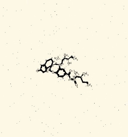 C=CC[C@H](C)[C@@H](C)/[SH](=O)=N\C(=O)c1ccc2c(c1)N(C[C@H](C)[C@@H](C)[C@@H](O)C=C)C[C@@]1(CCCc3cc(Cl)ccc31)CO2